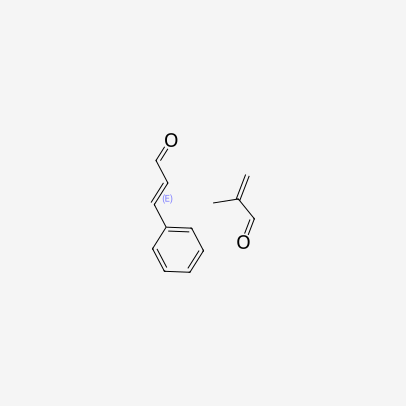 C=C(C)C=O.O=C/C=C/c1ccccc1